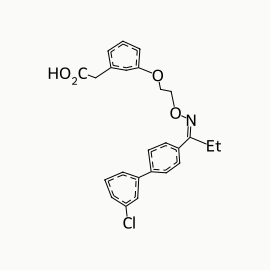 CCC(=NOCCOc1cccc(CC(=O)O)c1)c1ccc(-c2cccc(Cl)c2)cc1